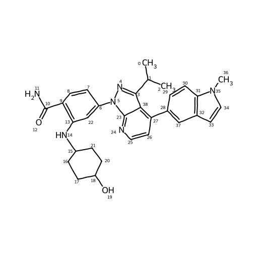 CC(C)c1nn(-c2ccc(C(N)=O)c(NC3CCC(O)CC3)c2)c2nccc(-c3ccc4c(ccn4C)c3)c12